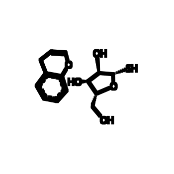 C1=COc2ccccc2C1.OC[C@H]1O[C@@H](S)[C@H](O)[C@H]1O